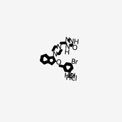 Cl.Cl.O=c1[nH]nc(CN2CCN([C@@H]3c4ccccc4C[C@H]3OCc3cc(Br)cc(Br)c3)CC2)[nH]1